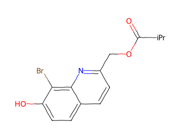 CC(C)C(=O)OCc1ccc2ccc(O)c(Br)c2n1